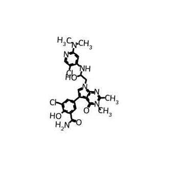 Cc1nc2c(c(-c3cc(Cl)c(O)c(C(N)=O)c3)cn2CC(O)Nc2cc(N(C)C)ncc2Cl)c(=O)n1C